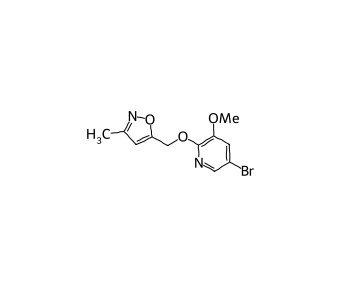 COc1cc(Br)cnc1OCc1cc(C)no1